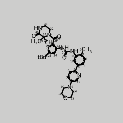 Cc1ccc(-c2ccc(N3CCOCC3)cn2)cc1NC(=O)Nc1cc(C(C)(C)C)sc1C(=O)N1CCNC(=O)C1(C)C